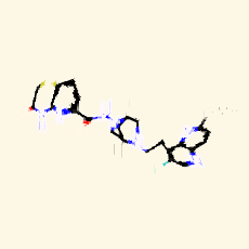 COc1ccc2ncc(F)c(CCN3C[C@@H]4C[C@H]3CN4NC(=O)c3ccc4c(n3)NC(=O)CS4)c2n1